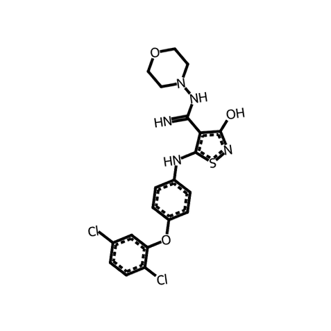 N=C(NN1CCOCC1)c1c(O)nsc1Nc1ccc(Oc2cc(Cl)ccc2Cl)cc1